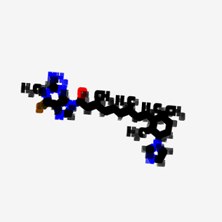 CC1=C(/C=C/C(C)=C/C=C/C(C)=C/C(=O)n2cnc3c(=S)n(C)c(N)nc32)C(C)(C)CCC1n1ccnc1